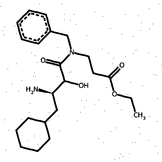 CCOC(=O)CCN(Cc1ccccc1)C(=O)C(O)[C@H](N)CC1CCCCC1